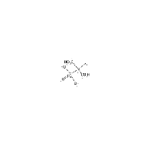 C[N+](C(=O)O)(C(=O)O)P(=O)(O)O